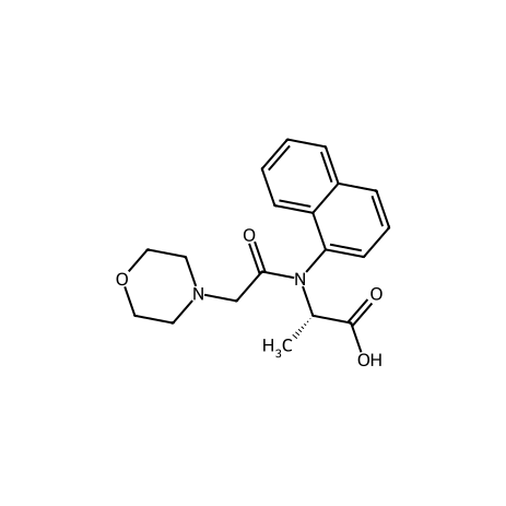 C[C@@H](C(=O)O)N(C(=O)CN1CCOCC1)c1cccc2ccccc12